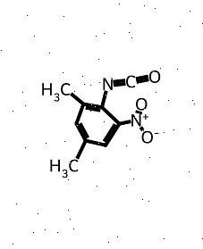 Cc1cc(C)c(N=C=O)c([N+](=O)[O-])c1